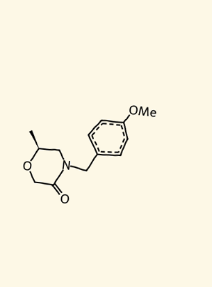 COc1ccc(CN2C[C@H](C)OCC2=O)cc1